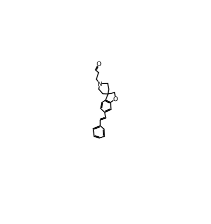 O=CCCN1CCC2(CC1)COc1cc(/C=C/c3ccccc3)ccc12